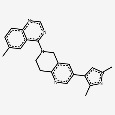 Cc1ccc2ncnc(N3CCc4ncc(-c5cn(C)nc5C)cc4C3)c2c1